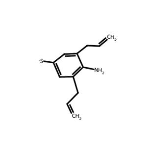 C=CCc1cc([S])cc(CC=C)c1N